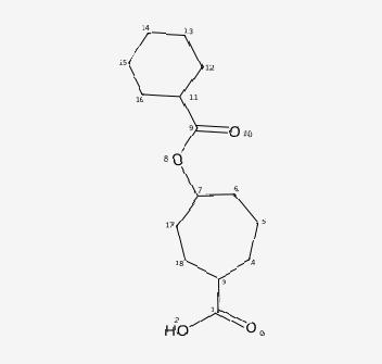 O=C(O)C1CCCC(OC(=O)C2CCCCC2)CC1